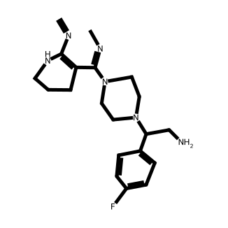 C=NC1=C(/C(=N\C)N2CCN(C(CN)c3ccc(F)cc3)CC2)CCCN1